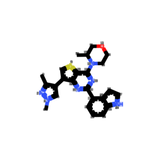 Cc1nn(C)cc1-c1csc2c(N3CCOCC3C)nc(-c3cccc4[nH]ccc34)nc12